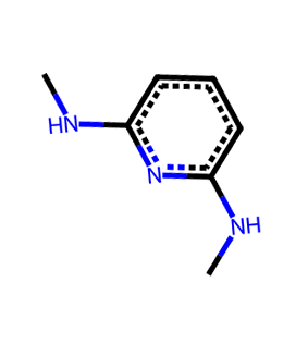 CNc1cccc(NC)n1